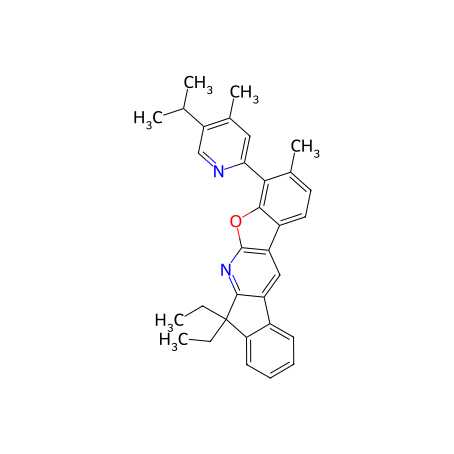 CCC1(CC)c2ccccc2-c2cc3c(nc21)oc1c(-c2cc(C)c(C(C)C)cn2)c(C)ccc13